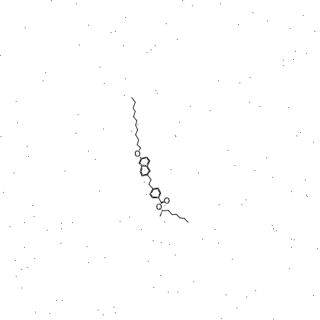 CCCCCCCCCCCCOc1ccc2cc(CCc3ccc(C(=O)O[C@H](C)CCCCCC)cc3)ccc2c1